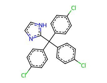 Clc1ccc(C(c2ccc(Cl)cc2)(c2ccc(Cl)cc2)c2ncc[nH]2)cc1